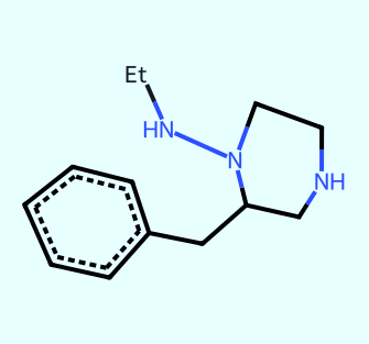 CCNN1CCNCC1Cc1ccccc1